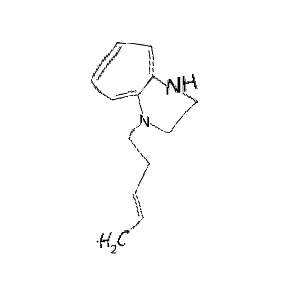 [CH2]C=CCCN1CCNc2ccccc21